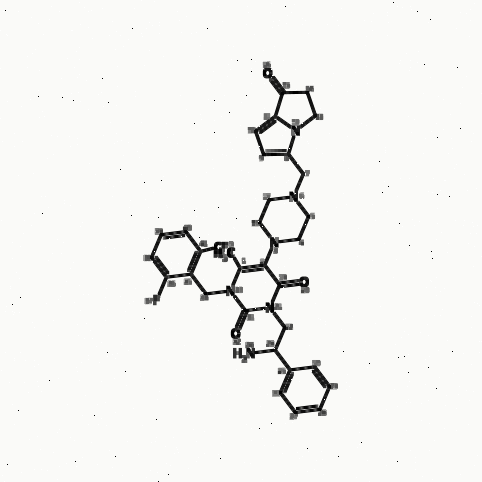 Cc1c(N2CCN(Cc3ccc4n3CCC4=O)CC2)c(=O)n(CC(N)c2ccccc2)c(=O)n1Cc1c(F)cccc1C(F)(F)F